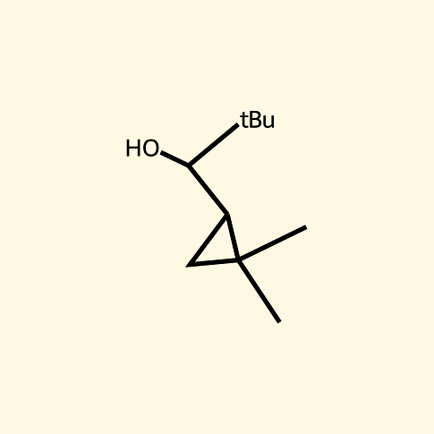 CC(C)(C)C(O)C1CC1(C)C